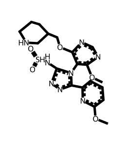 COc1cccc(-c2nnc(N[SH](=O)=O)n2-c2c(OC)ncnc2OCC2CCCNC2)n1